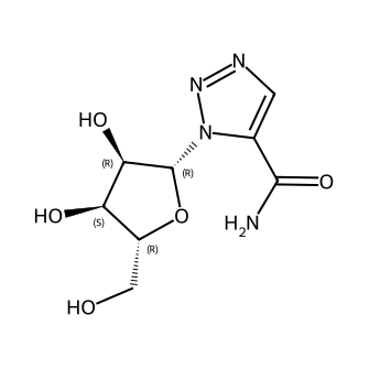 NC(=O)c1cnnn1[C@@H]1O[C@H](CO)[C@@H](O)[C@H]1O